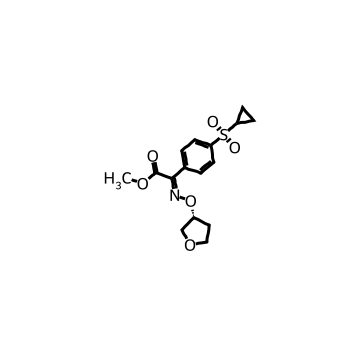 COC(=O)/C(=N/O[C@@H]1CCOC1)c1ccc(S(=O)(=O)C2CC2)cc1